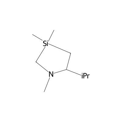 CC(C)C1C[Si](C)(C)CN1C